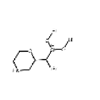 CCCC(C1CNCCO1)[SiH](OCC)OCC